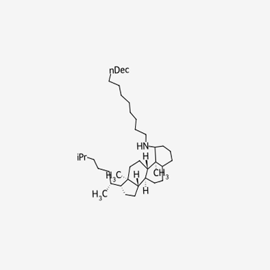 CCCCCCCCCCCCCCCCCCNC1CCCC2CC[C@@H]3[C@H](CC[C@]4(C)[C@@H]([C@H](C)CCCC(C)C)CC[C@@H]34)[C@]21C